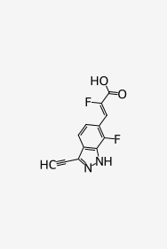 C#Cc1n[nH]c2c(F)c(/C=C(\F)C(=O)O)ccc12